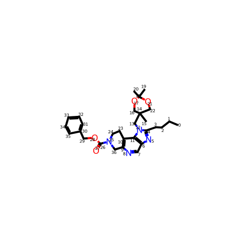 CCCCc1nc2cnc3c(c2n1CC1(C)COC(C)(C)OC1)CCN(C(=O)OCc1ccccc1)C3